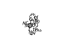 COC(=O)N(c1sc(CC(C)C)cc1-c1ccc(Cn2ccnc2C(C)(C)C)cc1C#N)[SH](=O)=O